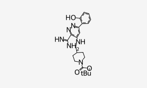 CC(C)(C)OC(=O)N1CCC(CNc2cc(-c3ccccc3O)nnc2C(=N)N)CC1